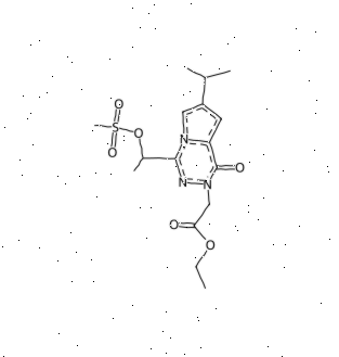 CCOC(=O)Cn1nc(C(C)OS(C)(=O)=O)n2cc(C(C)C)cc2c1=O